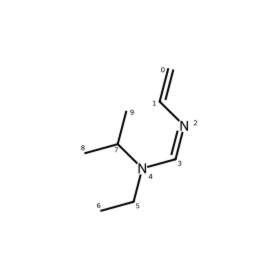 C=C/N=C\N(CC)C(C)C